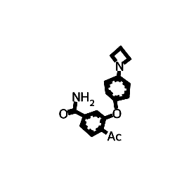 CC(=O)c1ccc(C(N)=O)cc1Oc1ccc(N2CCC2)cc1